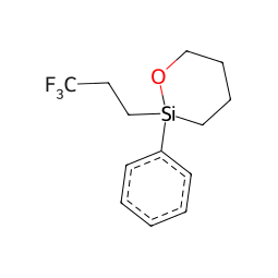 FC(F)(F)CC[Si]1(c2ccccc2)CCCCO1